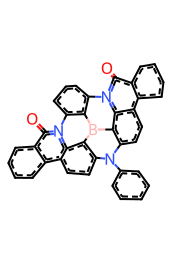 O=c1c2ccccc2c2ccc3c4c2n1-c1cccc2c1B4c1c(ccc4c5ccccc5c(=O)n-2c14)N3c1ccccc1